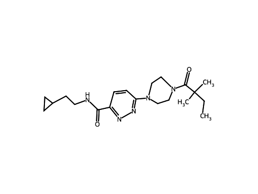 CCC(C)(C)C(=O)N1CCN(c2ccc(C(=O)NCCC3CC3)nn2)CC1